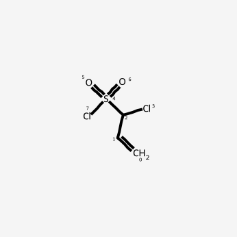 C=CC(Cl)S(=O)(=O)Cl